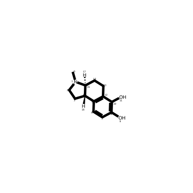 CN1CC[C@H]2c3ccc(O)c(O)c3CC[C@@H]21